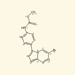 COC(=O)Nc1ccc(-c2cnc3cnc(Br)cn23)cn1